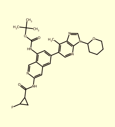 Cc1c(-c2cc(NC(=O)OC(C)(C)C)c3cnc(NC(=O)C4CC4F)cc3c2)cnc2c1ncn2C1CCCCO1